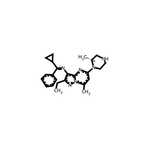 CCc1nn2c(C)cc(N3CCNC[C@H]3C)nc2c1/N=C(\c1ccccc1)C1CC1